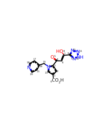 O=C(O)c1cc(C(=O)C=C(O)c2nn[nH]n2)n(Cc2ccncc2)c1